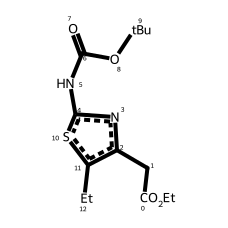 CCOC(=O)Cc1nc(NC(=O)OC(C)(C)C)sc1CC